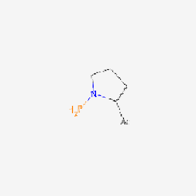 CC(=O)C1CCCN1P